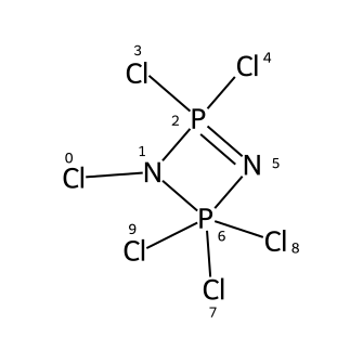 ClN1P(Cl)(Cl)=NP1(Cl)(Cl)Cl